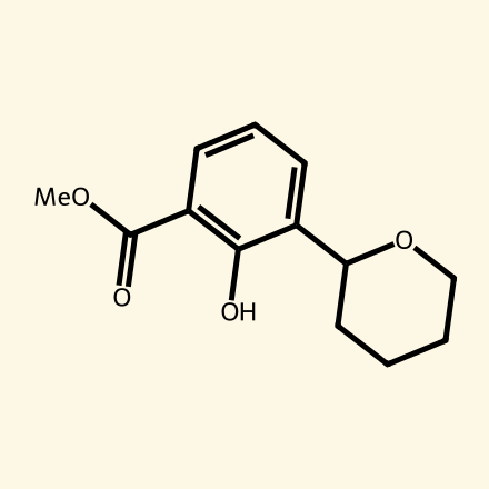 COC(=O)c1cccc(C2CCCCO2)c1O